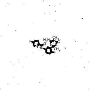 CN1C(=O)CC(C)(c2cc(NC(=O)c3ccc(F)cn3)ccc2F)N=C1N